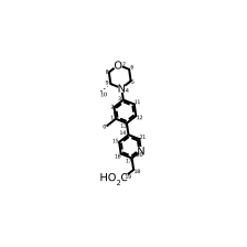 Cc1cc(N2CCOC[C@H]2C)ccc1-c1ccc(CC(=O)O)nc1